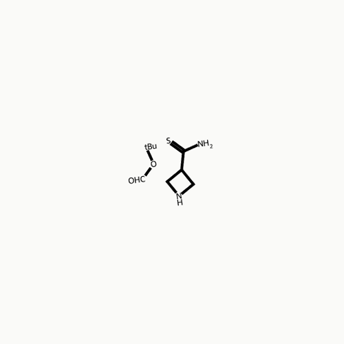 CC(C)(C)OC=O.NC(=S)C1CNC1